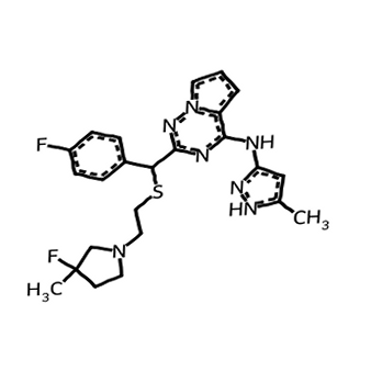 Cc1cc(Nc2nc(C(SCCN3CCC(C)(F)C3)c3ccc(F)cc3)nn3cccc23)n[nH]1